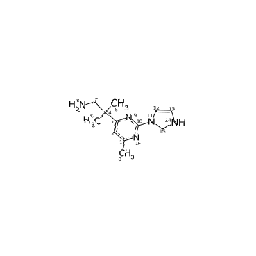 Cc1cc(C(C)(C)CN)nc(N2C=CNC2)n1